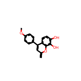 C=C1C=C(c2ccc(OC)cc2)c2ccc(O)c(O)c2O1